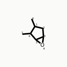 CC1CC2OC2C1C